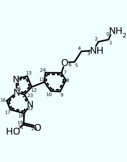 NCCNCCOc1cccc(-c2cnn3ccc(C(=O)O)nc23)c1